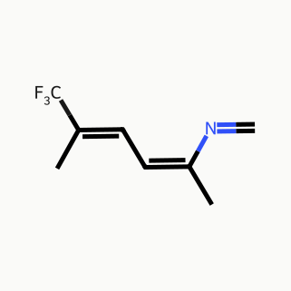 C=N/C(C)=C\C=C(/C)C(F)(F)F